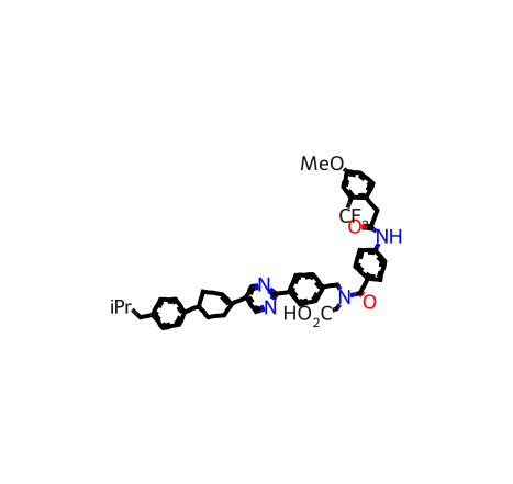 COc1ccc(CC(=O)Nc2ccc(C(=O)N(CC(=O)O)Cc3ccc(-c4ncc(C5=CCC(c6ccc(CC(C)C)cc6)CC5)cn4)cc3)cc2)c(C(F)(F)F)c1